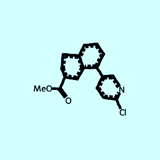 COC(=O)c1ccc2cccc(-c3ccc(Cl)nc3)c2c1